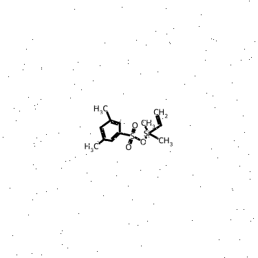 C=C[Si](C)(C)OS(=O)(=O)c1cc(C)cc(C)c1